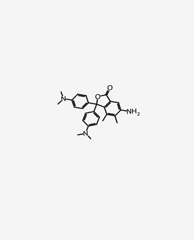 Cc1c(N)cc2c(c1C)C(c1ccc(N(C)C)cc1)(c1ccc(N(C)C)cc1)OC2=O